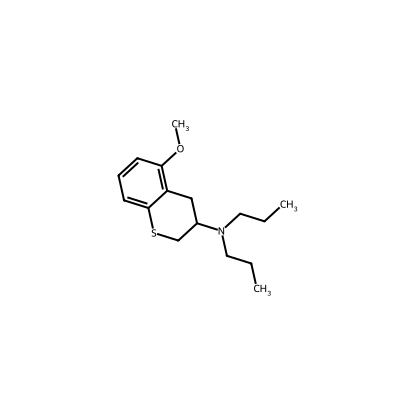 CCCN(CCC)C1CSc2cccc(OC)c2C1